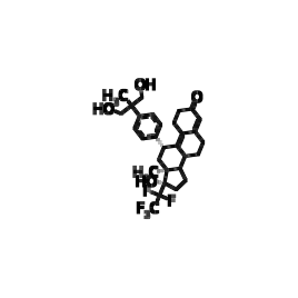 CC(CO)(CO)c1ccc([C@H]2C[C@@]3(C)C(CC[C@@]3(O)C(F)(F)C(F)(F)F)C3CCC4=CC(=O)CCC4=C32)cc1